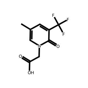 Cc1cc(C(F)(F)F)c(=O)n(CC(=O)O)c1